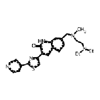 CCN(CC)CCN(C)Cc1ccc2cc(-c3csc(-c4ccncc4)n3)c(=O)[nH]c2c1